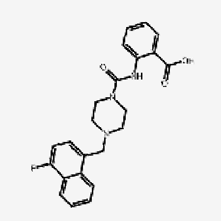 O=C(O)c1ccccc1NC(=O)N1CCN(Cc2ccc(F)c3ccccc23)CC1